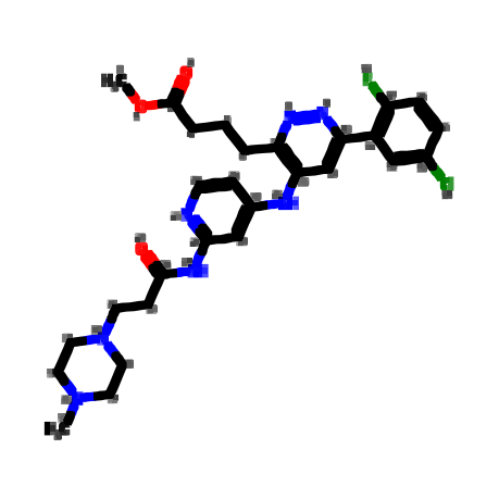 COC(=O)CCCc1nnc(-c2cc(Cl)ccc2F)cc1Nc1ccnc(NC(=O)CCN2CCN(C)CC2)c1